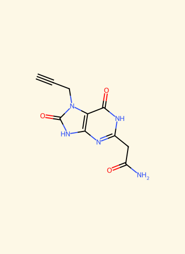 C#CCn1c(=O)[nH]c2nc(CC(N)=O)[nH]c(=O)c21